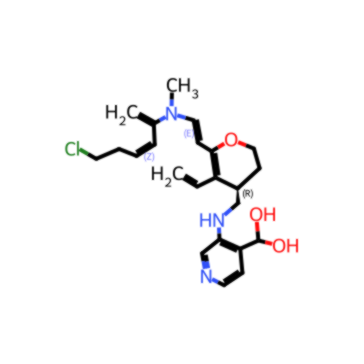 C=CC1=C(/C=C/N(C)C(=C)/C=C\CCCl)OCC[C@H]1CNc1cnccc1C(O)O